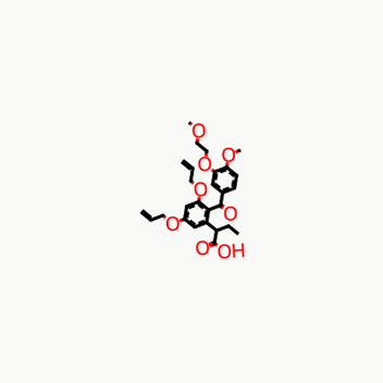 C=CCOc1cc(OCC=C)c(C(=O)c2ccc(OC)c(OCCOC)c2)c(C(CC)C(=O)O)c1